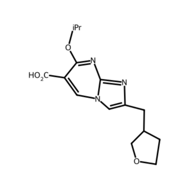 CC(C)Oc1nc2nc(CC3CCOC3)cn2cc1C(=O)O